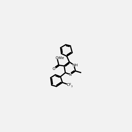 COC(=O)C1=C(c2ccccc2)NC(C)=NC1c1ccccc1C(F)(F)F